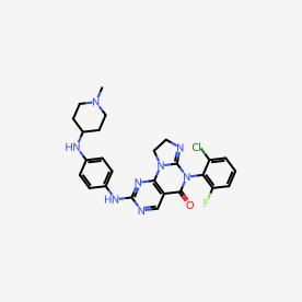 CN1CCC(Nc2ccc(Nc3ncc4c(n3)N3CCN=C3N(c3c(F)cccc3Cl)C4=O)cc2)CC1